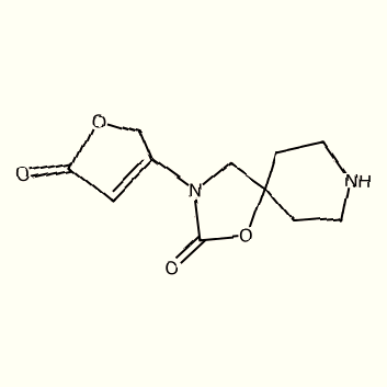 O=C1C=C(N2CC3(CCNCC3)OC2=O)CO1